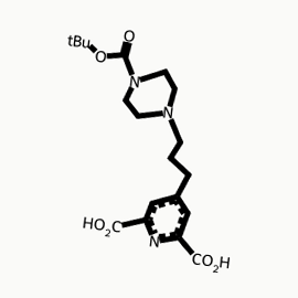 CC(C)(C)OC(=O)N1CCN(CCCc2cc(C(=O)O)nc(C(=O)O)c2)CC1